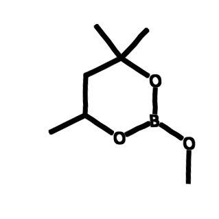 COB1OC(C)CC(C)(C)O1